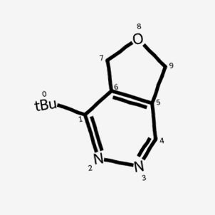 CC(C)(C)c1nncc2c1COC2